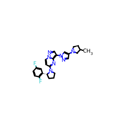 CC1CCN(c2cnn(-c3cnn4ccc(N5CCC[C@@H]5c5cc(F)ccc5F)nc34)c2)C1